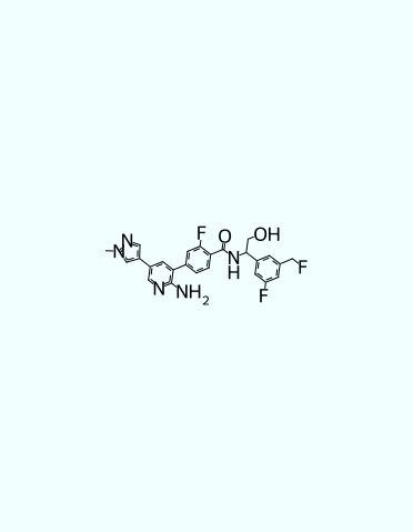 Cn1cc(-c2cnc(N)c(-c3ccc(C(=O)NC(CO)c4cc(F)cc(CF)c4)c(F)c3)c2)cn1